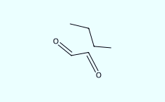 CCCC.O=CC=O